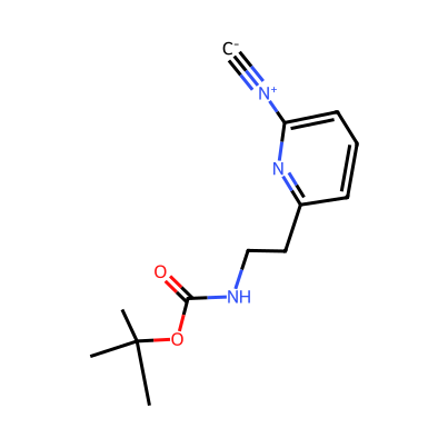 [C-]#[N+]c1cccc(CCNC(=O)OC(C)(C)C)n1